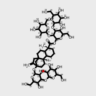 C=C1CC23CCC4C(CCC[C@@]4(C)C(=O)OC4OC(CO)C(O)C(OC5OC(CO)C(O)C(O)C5O)C4OC4OC(CO)C(O)C(O)C4O)[C@@H]2CCC1(OC1OC(CO)C(O)C(OC2OC(CO)C(O)C(O)C2O)C1O)C3